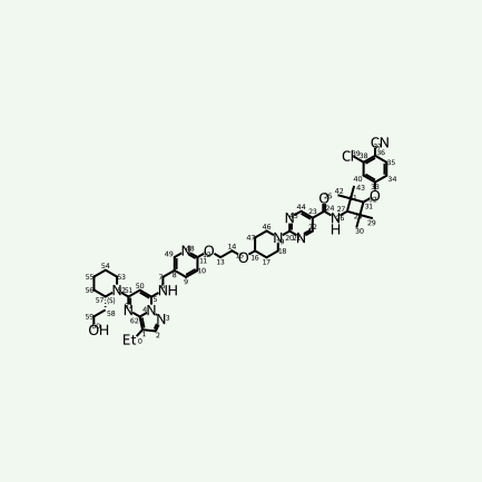 CCc1cnn2c(NCc3ccc(OCCOC4CCN(c5ncc(C(=O)NC6C(C)(C)C(Oc7ccc(C#N)c(Cl)c7)C6(C)C)cn5)CC4)nc3)cc(N3CCCC[C@H]3CCO)nc12